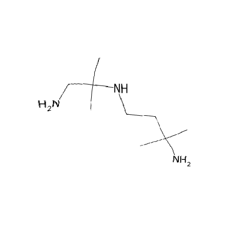 CC(C)(N)CCNC(C)(C)CN